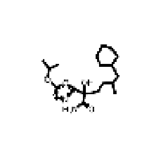 CC(C[CH]C(O)(C(N)=O)c1nnc(OC(C)C)o1)CC1CCCCC1